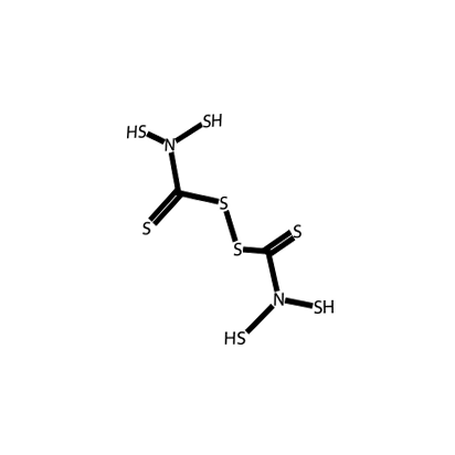 S=C(SSC(=S)N(S)S)N(S)S